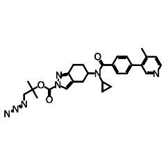 Cc1ccncc1-c1ccc(C(=O)N(C2CC2)C2CCc3nn(C(=O)OC(C)(C)CN=[N+]=[N-])cc3C2)cc1